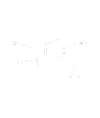 CCCCOc1cc(C(C)(O)CC#N)ccc1OC